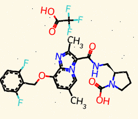 Cc1cc(OCc2c(F)cccc2F)c2nc(C)c(C(=O)NC[C@H]3CCCN3C(=O)O)n2c1.O=C(O)C(F)(F)F